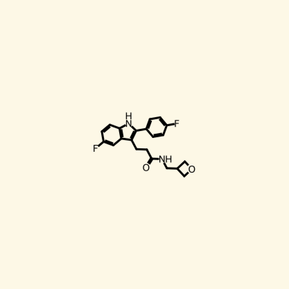 O=C(CCc1c(-c2ccc(F)cc2)[nH]c2ccc(F)cc12)NCC1COC1